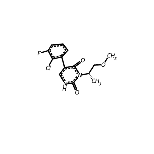 COC[C@H](C)n1c(=O)[nH]cc(-c2cccc(F)c2Cl)c1=O